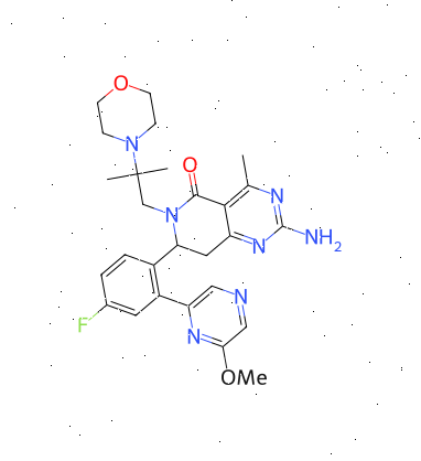 COc1cncc(-c2cc(F)ccc2C2Cc3nc(N)nc(C)c3C(=O)N2CC(C)(C)N2CCOCC2)n1